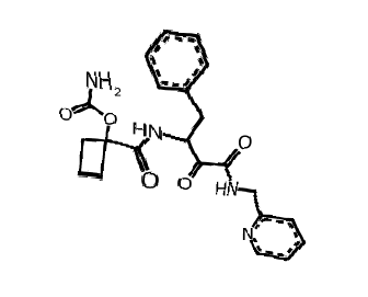 NC(=O)OC1(C(=O)NC(Cc2ccccc2)C(=O)C(=O)NCc2ccccn2)CCC1